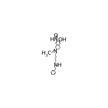 CCCN(CCCCCCNCCc1ccccc1)[C@@H]1CCc2cc(O)c(NC=O)cc2C1